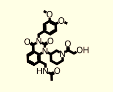 COc1ccc(Cn2c(=O)c3cccc(CNC(C)=O)c3n(C3CCCN(C(=O)CO)C3)c2=O)cc1OC